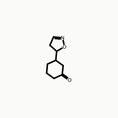 O=C1CCCC(C2CC=NO2)C1